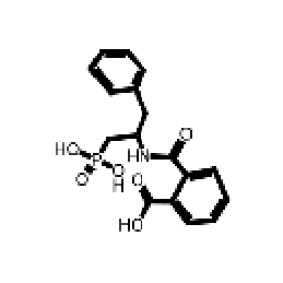 O=C(O)c1ccccc1C(=O)NC(Cc1ccccc1)CP(=O)(O)O